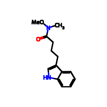 CON(C)C(=O)CCCc1c[nH]c2ccccc12